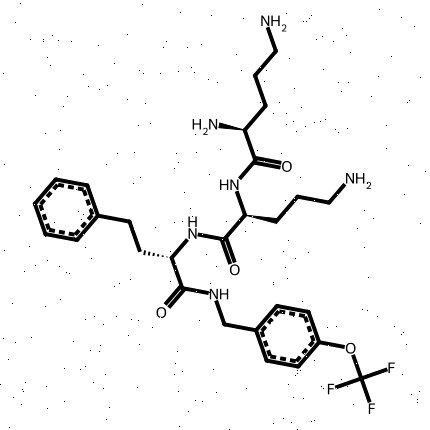 NCCC[C@H](NC(=O)[C@@H](N)CCCN)C(=O)N[C@@H](CCc1ccccc1)C(=O)NCc1ccc(OC(F)(F)F)cc1